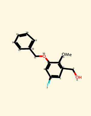 COc1c(CO)cc(F)cc1OCc1ccccc1